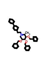 C[C@@H]1[C@@H](OCc2ccccc2)[C@H](OCc2ccccc2)[C@@H](OCc2ccccc2)CN1CCc1ccc(-c2ccccc2)cc1